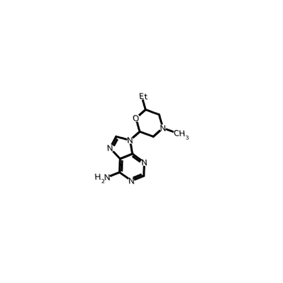 CCC1CN(C)CC(n2cnc3c(N)ncnc32)O1